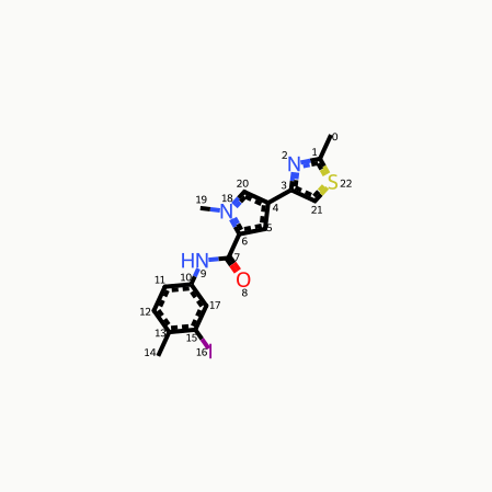 Cc1nc(-c2cc(C(=O)Nc3ccc(C)c(I)c3)n(C)c2)cs1